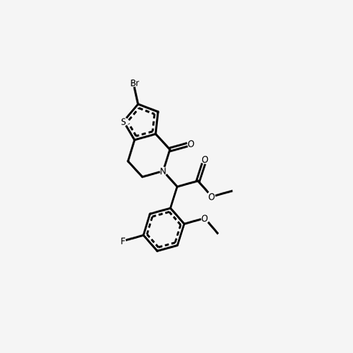 COC(=O)C(c1cc(F)ccc1OC)N1CCc2sc(Br)cc2C1=O